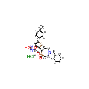 CCc1ccc(-c2ccc([C@@]3(CC(=O)NO)CCN(CC4CCCCC4)CCS3(=O)=O)s2)cc1.Cl